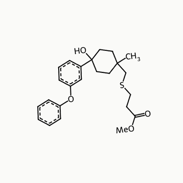 COC(=O)CCSCC1(C)CCC(O)(c2cccc(Oc3ccccc3)c2)CC1